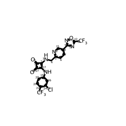 O=c1c(NCc2ccc(-c3noc(C(F)(F)F)n3)cn2)c(Nc2ccc(C(F)(F)F)c(Cl)c2)c1=O